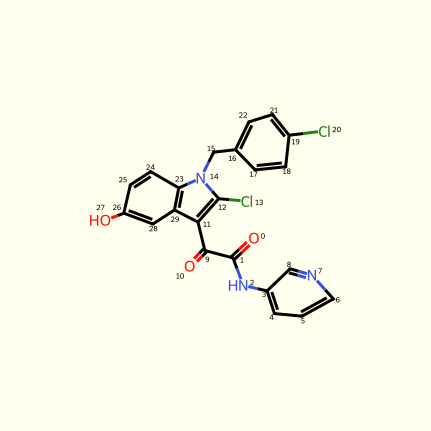 O=C(Nc1cccnc1)C(=O)c1c(Cl)n(Cc2ccc(Cl)cc2)c2ccc(O)cc12